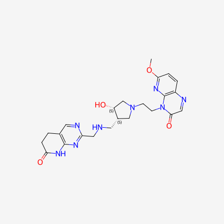 COc1ccc2ncc(=O)n(CCN3C[C@H](CNCc4ncc5c(n4)NC(=O)CC5)[C@H](O)C3)c2n1